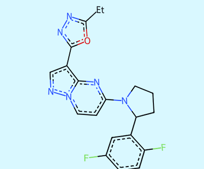 CCc1nnc(-c2cnn3ccc(N4CCCC4c4cc(F)ccc4F)nc23)o1